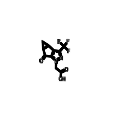 O=C(O)Cn1nc(C(F)(F)F)c2c1C(=O)C1CC21